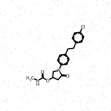 CNC(=O)OC1CC(=O)N(c2ccc(CCc3ccc(Cl)cc3)cc2)C1